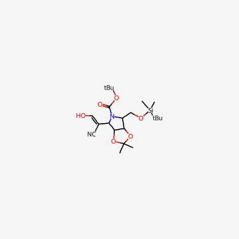 CC(C)(C)OC(=O)N1C(CO[Si](C)(C)C(C)(C)C)C2OC(C)(C)OC2C1/C(C#N)=C/O